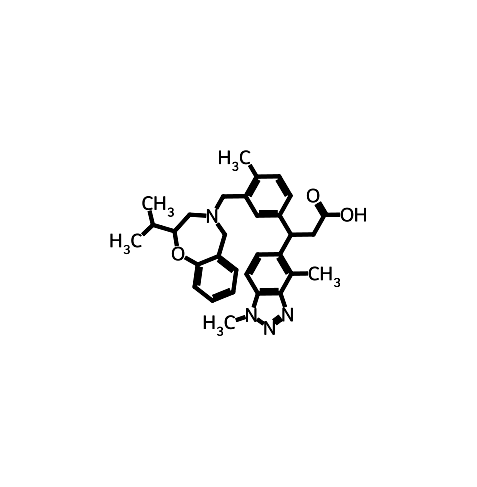 Cc1ccc(C(CC(=O)O)c2ccc3c(nnn3C)c2C)cc1CN1Cc2ccccc2OC(C(C)C)C1